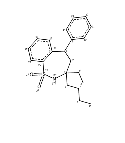 CCCCC1(CC)CC(c2ccccc2)c2ccccc2S(=O)(=O)N1